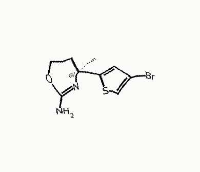 C[C@@]1(c2cc(Br)cs2)CCOC(N)=N1